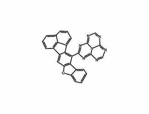 C1=NC2=NC=NC3=NC(c4c5c(cc6oc7ccccc7c46)-c4cccc6cccc-5c46)=NC(=N1)N23